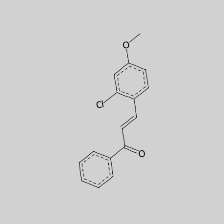 COc1ccc(C=CC(=O)c2ccccc2)c(Cl)c1